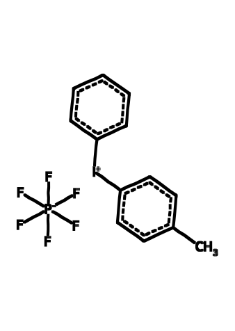 Cc1ccc([I+]c2ccccc2)cc1.F[P-](F)(F)(F)(F)F